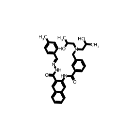 Cc1ccc(/C=N/NC(=O)c2cc3ccccc3cc2NC(=O)c2cccc(CN(CC(C)O)CC(C)O)c2)cc1